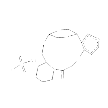 CS(=O)(=O)N[C@H]1CCCN2C(=O)COc3ccncc3C3CCC(CC3)OCC12